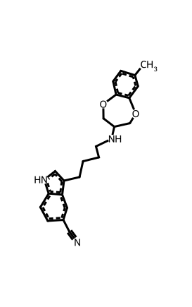 Cc1ccc2c(c1)OCC(NCCCCc1c[nH]c3ccc(C#N)cc13)CO2